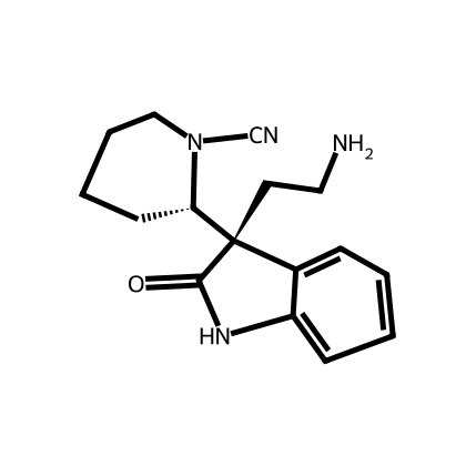 N#CN1CCCC[C@H]1[C@@]1(CCN)C(=O)Nc2ccccc21